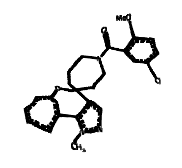 COc1ccc(Cl)cc1C(=O)N1CCC2(CC1)Oc1ccccc1-c1c2cnn1C